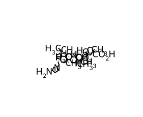 C=C(C)[C@@H]1CC[C@]2(CCN3CCC(N)C3)CC[C@]3(C)[C@H](CC[C@@H]4[C@@]5(C)CC[C@H](OC(=O)CC(C)(C)C(=O)O)C(C)(C)[C@@H]5CC[C@]43C)[C@@H]12